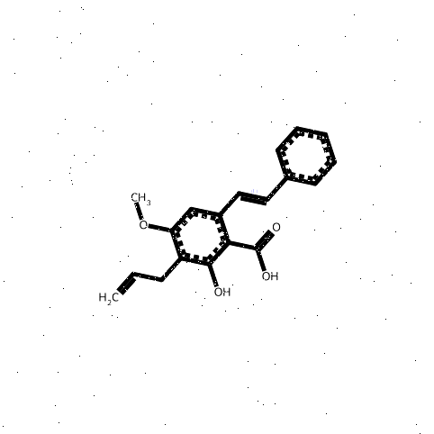 C=CCc1c(OC)cc(/C=C/c2ccccc2)c(C(=O)O)c1O